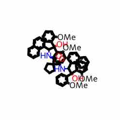 COc1ccccc1C(O)(c1ccccc1OC)[C@@H](NC(=O)C1(C(=O)N[C@@H](c2cccc3ccccc23)C(O)(c2ccccc2OC)c2ccccc2OC)CCCC1)c1cccc2ccccc12